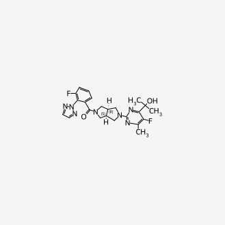 Cc1nc(N2C[C@H]3CN(C(=O)c4cccc(F)c4-n4nccn4)C[C@H]3C2)nc(C(C)(C)O)c1F